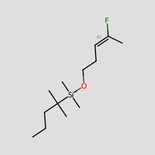 CCCC(C)(C)[Si](C)(C)OCC/C=C(\C)F